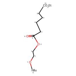 CCCCOCCOC(=O)CCCCC(=O)OCC